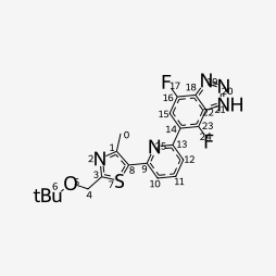 Cc1nc(COC(C)(C)C)sc1-c1cccc(-c2cc(F)c3nn[nH]c3c2F)n1